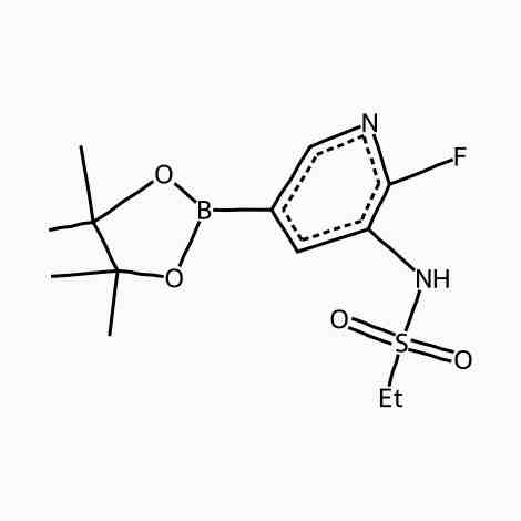 CCS(=O)(=O)Nc1cc(B2OC(C)(C)C(C)(C)O2)cnc1F